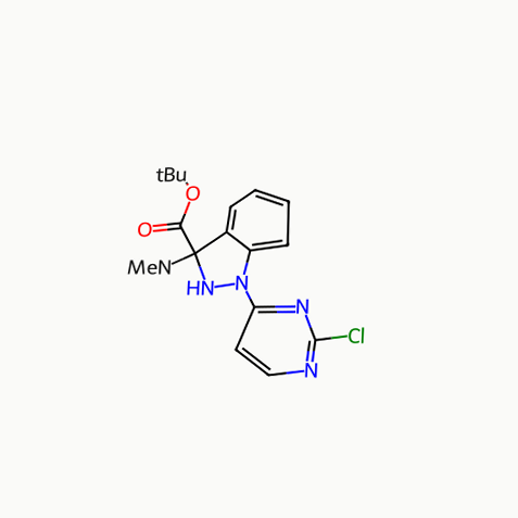 CNC1(C(=O)OC(C)(C)C)NN(c2ccnc(Cl)n2)c2ccccc21